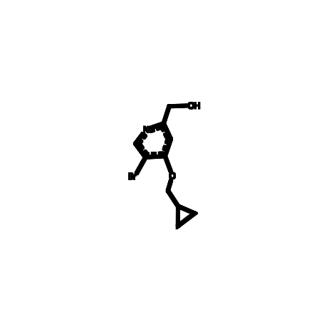 OCc1cc(OCC2CC2)c(Br)cn1